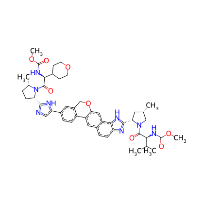 COC(=O)N[C@H](C(=O)N1C[C@@H](C)C[C@H]1c1nc2ccc3cc4c(cc3c2[nH]1)OCc1cc(-c2cnc([C@@H]3CC[C@H](C)N3C(=O)[C@@H](NC(=O)OC)C3CCOCC3)[nH]2)ccc1-4)C(C)C